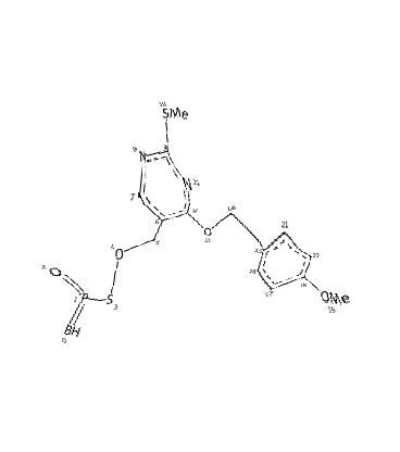 B=P(=O)SOCc1cnc(SC)nc1OCc1ccc(OC)cc1